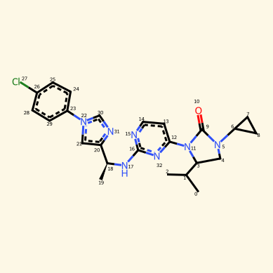 CC(C)C1CN(C2CC2)C(=O)N1c1ccnc(N[C@@H](C)c2cn(-c3ccc(Cl)cc3)cn2)n1